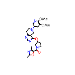 COc1cc(N2CCc3ncnc(OC4CCN(C(=O)c5oc(C)nc5C)C4)c3C2)cnc1OC